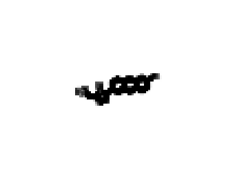 CC(=O)c1ccc2cc3cc(-c4cnc(CN)[nH]4)ccc3cc2c1